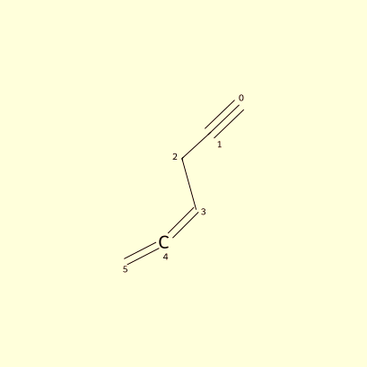 C#CCC=C=C